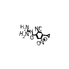 CS(=O)(=O)c1cc(C(=O)N=C(N)N)c(C#N)cc1C1CC1